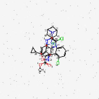 COC(=O)c1ccc2nc(N3C4CC(NCc5c(-c6c(Cl)cccc6Cl)noc5C5CC5)CC3C4)c(Cl)nc2c1